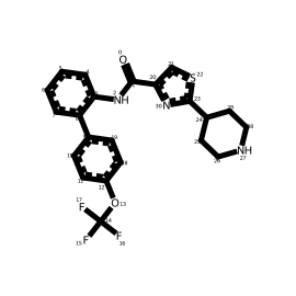 O=C(Nc1ccccc1-c1ccc(OC(F)(F)F)cc1)c1csc(C2CCNCC2)n1